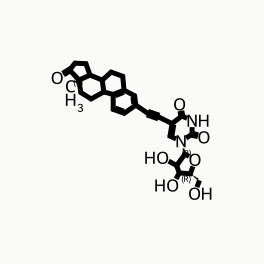 C[C@]12CCC3c4ccc(C#Cc5cn([C@@H]6O[C@H](CO)C(O)C6O)c(=O)[nH]c5=O)cc4CCC3C1CCC2=O